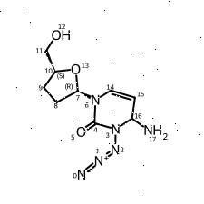 [N-]=[N+]=NN1C(=O)N([C@H]2CC[C@@H](CO)O2)C=CC1N